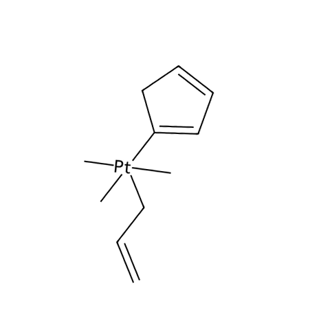 C=C[CH2][Pt]([CH3])([CH3])([CH3])[C]1=CC=CC1